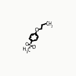 CCCOc1ccc(S(C)(=O)=O)cc1